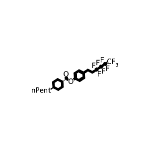 CCCCC[C@H]1CC[C@H](C(=O)Oc2ccc(CCC(F)(F)C(F)(F)C(F)(F)C(F)(F)F)cc2)CC1